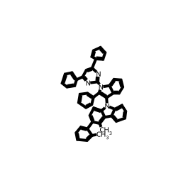 Cc1ccccc1-c1ccc2c(c1C)c1ccccc1n2-c1c(-c2ccccc2)n(-c2nc(-c3ccccc3)cc(-c3ccccc3)n2)c2ccccc12